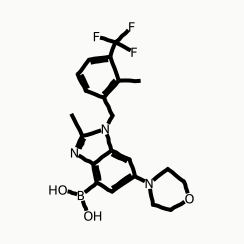 Cc1c(Cn2c(C)nc3c(B(O)O)cc(N4CCOCC4)cc32)cccc1C(F)(F)F